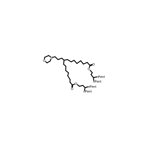 CCCCCC(CCCCC)CCOC(=O)CCCCCCCC(CCCCCCCC(=O)OCCC(CCCCC)CCCCC)CCCN1CCOCC1